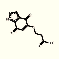 O=C(O)CCSC1=CC(=O)c2[nH]ncc2C1=O